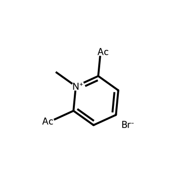 CC(=O)c1cccc(C(C)=O)[n+]1C.[Br-]